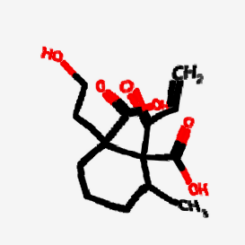 C=CC(=O)C1(C(=O)O)C(C)CCCC1(CCO)C(=O)O